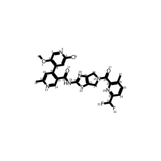 COc1cnc(Cl)cc1-c1cc(C)ncc1C(=O)Nc1nc2c(s1)CN(C(=O)c1nc(C(F)F)ccc1C)C2